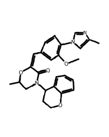 COc1cc(C=C2OC(C)CN(C3CCOc4ccccc43)C2=O)ccc1-n1cnc(C)c1